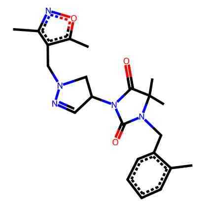 Cc1ccccc1CN1C(=O)N(C2C=NN(Cc3c(C)noc3C)C2)C(=O)C1(C)C